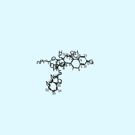 CCCC1O[C@@H]2CC3C4CCC5=CC(=O)C=CC5(C)C4[C@@H](O)CC3(C)[C@]2(C(=O)CSc2nc3ncccc3o2)O1